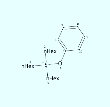 CCCCCC[Si](CCCCCC)(CCCCCC)Oc1ccccc1